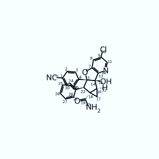 N#Cc1ccc([C@@]23Oc4cc(Cl)cnc4[C@]2(O)[C@H]2C[C@@]2(C(N)=O)[C@H]3c2ccccc2)cc1